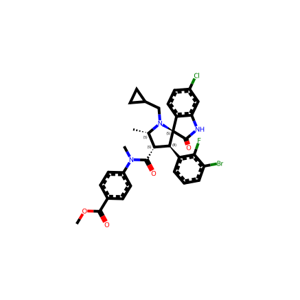 COC(=O)c1ccc(N(C)C(=O)[C@@H]2[C@H](C)N(CC3CC3)[C@@]3(C(=O)Nc4cc(Cl)ccc43)[C@H]2c2cccc(Br)c2F)cc1